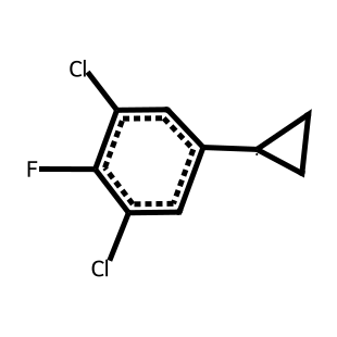 Fc1c(Cl)cc([C]2CC2)cc1Cl